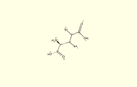 [3H]C(C(=O)O)C([3H])[C@H](N)C(=O)O